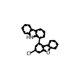 Clc1cc(-c2cccc3c2[nH]c2ccccc23)c2c(c1)oc1ccccc12